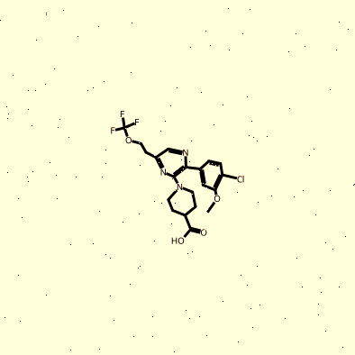 COc1cc(-c2ncc(CCOC(F)(F)F)nc2N2CCC(C(=O)O)CC2)ccc1Cl